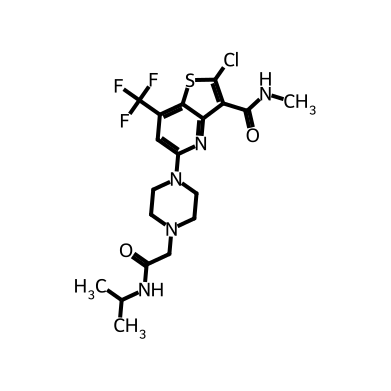 CNC(=O)c1c(Cl)sc2c(C(F)(F)F)cc(N3CCN(CC(=O)NC(C)C)CC3)nc12